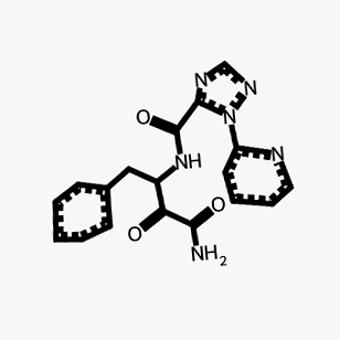 NC(=O)C(=O)C(Cc1ccccc1)NC(=O)c1ncnn1-c1ccccn1